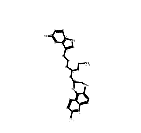 Cc1ccc2c3c(ccc2n1)OCC(CC(CCN)CCCc1c[nH]c2ccc(F)cc12)O3